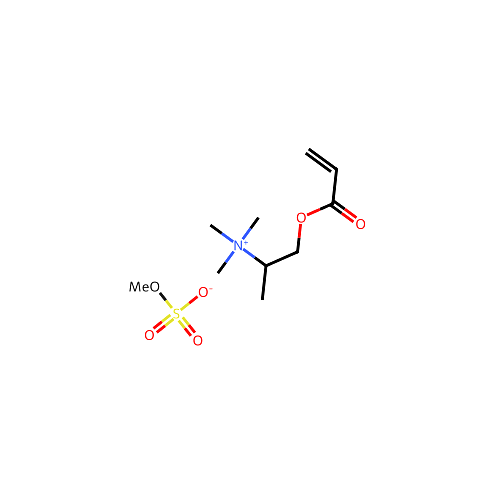 C=CC(=O)OCC(C)[N+](C)(C)C.COS(=O)(=O)[O-]